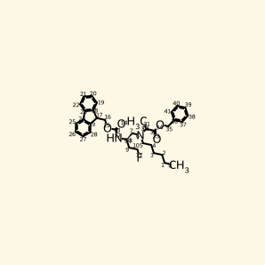 CCCCCCN(C[C@@H](CCF)NC(=O)OCC1c2ccccc2-c2ccccc21)[C@@H](C)C(=O)OCc1ccccc1